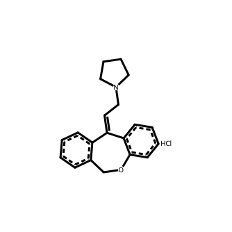 C(CN1CCCC1)=C1c2ccccc2COc2ccccc21.Cl